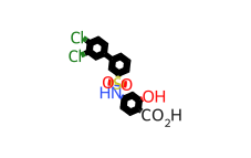 O=C(O)c1ccc(NS(=O)(=O)c2cccc(-c3ccc(Cl)c(Cl)c3)c2)cc1O